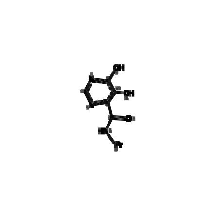 CC(C)NC(=O)c1ncnc(O)c1O